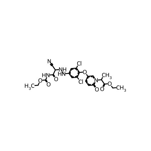 CCOC(=O)NC(=O)C(C#N)NNc1cc(Cl)c(Oc2ccc(=O)n(C(C)C(=O)OCC)c2)c(Cl)c1